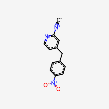 [C-]#[N+]c1cc(Cc2ccc([N+](=O)[O-])cc2)ccn1